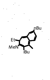 CCCCc1ccc2c(c1)=CC(CC)C(NC)=C(C(C)CC)C=2C